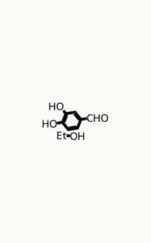 CCO.O=Cc1ccc(O)c(O)c1